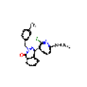 CC(=O)Nc1ccc(-c2nn(Cc3ccc(C#N)cc3)c(=O)c3ccccc23)c(F)n1